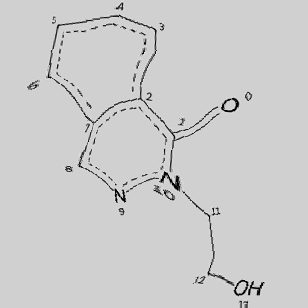 O=c1c2ccccc2cnn1CCO